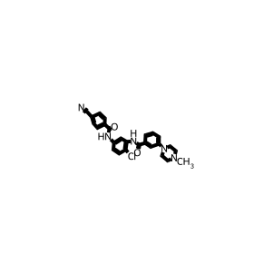 CN1CCN(c2cccc(C(=O)Nc3cc(NC(=O)c4ccc(C#N)cc4)ccc3Cl)c2)CC1